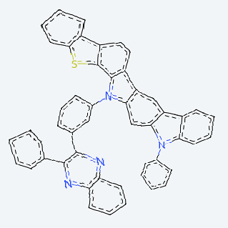 c1ccc(-c2nc3ccccc3nc2-c2cccc(-n3c4cc5c(cc4c4ccc6c7ccccc7sc6c43)c3ccccc3n5-c3ccccc3)c2)cc1